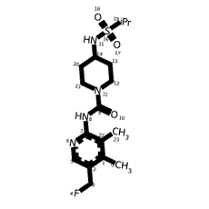 Cc1c(CF)cnc(NC(=O)N2CCC(NS(=O)(=O)C(C)C)CC2)c1C